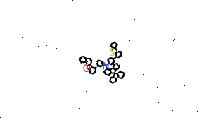 c1ccc(C2(c3ccccc3)c3ccccc3-c3c(N(c4ccc(-c5cccc6c5sc5ccccc56)cc4)c4cccc(-c5cccc6oc7c8ccccc8ccc7c56)c4)cccc32)cc1